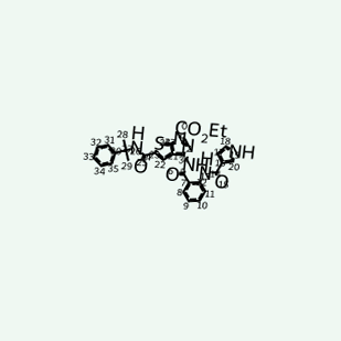 CCOC(=O)n1nc(NC(=O)c2ccccc2NC(=O)c2cc[nH]c2)c2cc(C(=O)NC(C)(C)c3ccccc3)sc21